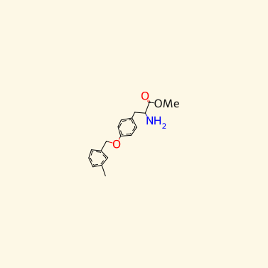 COC(=O)C(N)Cc1ccc(OCc2cccc(C)c2)cc1